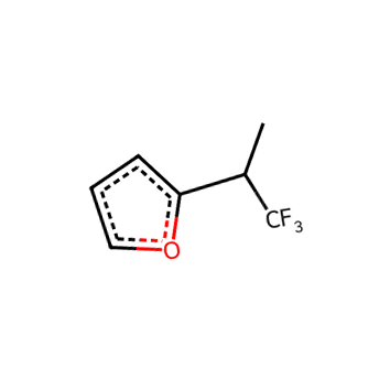 CC(c1ccco1)C(F)(F)F